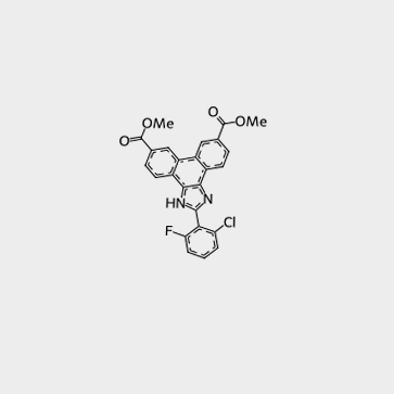 COC(=O)c1ccc2c(c1)c1cc(C(=O)OC)ccc1c1[nH]c(-c3c(F)cccc3Cl)nc21